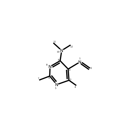 C=Nc1c(C)nc(C)nc1N(C)C